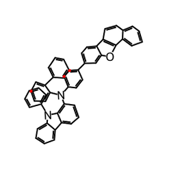 c1ccc(-c2ccccc2N(c2ccc(-c3ccc4c(c3)oc3c5ccccc5ccc43)cc2)c2cccc3c4ccccc4n(-c4ccccc4)c23)cc1